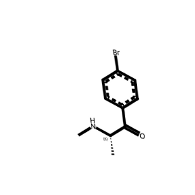 CN[C@@H](C)C(=O)c1ccc(Br)cc1